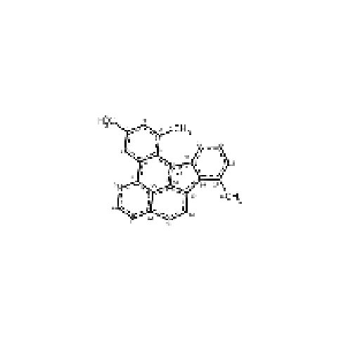 Cc1cc(C)c2c(c1)c1nccc3ccc4c5c(C)cccc5n2c4c31